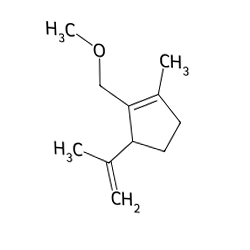 C=C(C)C1CCC(C)=C1COC